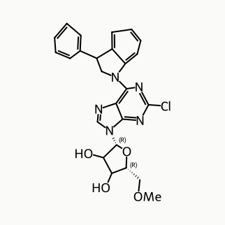 COC[C@H]1O[C@@H](n2cnc3c(N4CC(c5ccccc5)c5ccccc54)nc(Cl)nc32)C(O)C1O